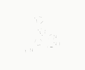 CC(=O)Nc1nc2c(s1)-c1c(c(-c3cccnc3)nn1-c1ccc(CN3CC=CC3)cc1)CC2